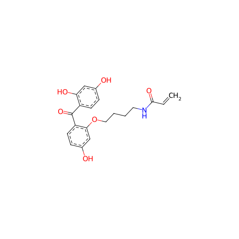 C=CC(=O)NCCCCOc1cc(O)ccc1C(=O)c1ccc(O)cc1O